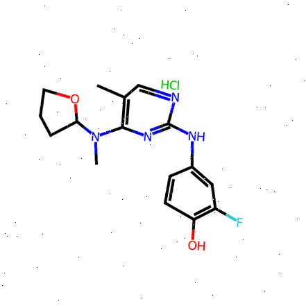 Cc1cnc(Nc2ccc(O)c(F)c2)nc1N(C)C1CCCO1.Cl